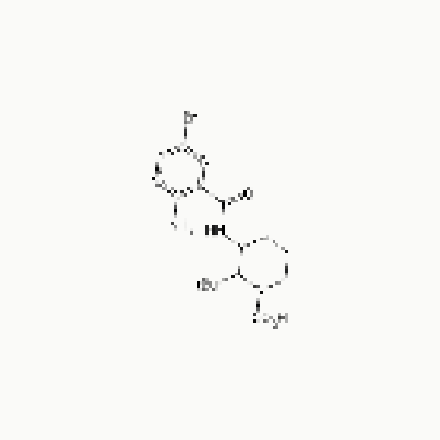 CC(C)(C)C1C(NC(=O)c2nc(Br)cnc2N)CCCN1C(=O)O